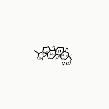 COC[C@@]1(C)CC[C@H]2[C@H](CC[C@@H]3[C@@H]2CC[C@]2(C)[C@@H](C(C)O)CC[C@@H]32)C1